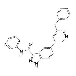 O=C(Nc1cccnc1)c1n[nH]c2ccc(-c3cncc(Cc4ccccc4)c3)cc12